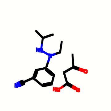 CC(=O)CC(=O)O.CCN(NC(C)C)c1cccc(C#N)c1